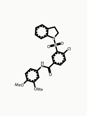 COc1ccc(NC(=O)c2ccc(Cl)c(S(=O)(=O)N3CCc4ccccc43)c2)cc1OC